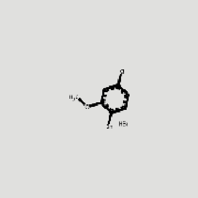 Br.COc1cc(Cl)cc[c]1[Zn]